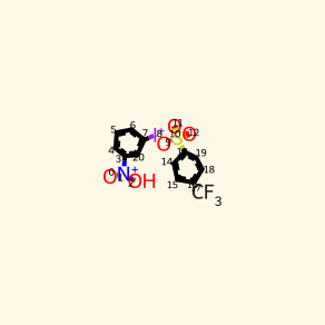 O=[N+](O)c1cccc([I+]OS(=O)(=O)c2ccc(C(F)(F)F)cc2)c1